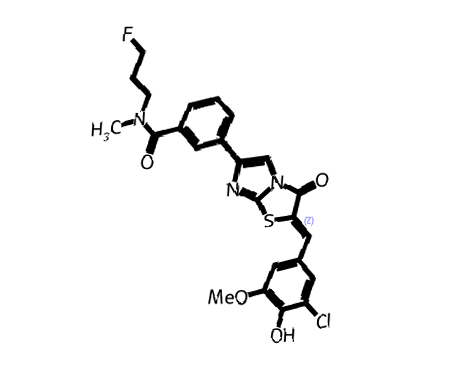 COc1cc(/C=c2\sc3nc(-c4cccc(C(=O)N(C)CCCF)c4)cn3c2=O)cc(Cl)c1O